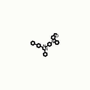 c1ccc(-c2ccc(-c3cc(-c4ccccc4)nc(-c4ccc(-n5c6ccccc6c6c7occc7ccc65)cc4)n3)cc2)cc1